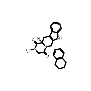 CN1CC(=O)N2[C@@H](c3ccc4c(c3)CCCC4)c3[nH]c4ccccc4c3C[C@H]2C1=O